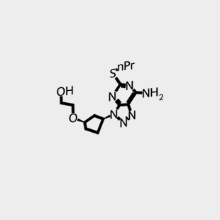 CCCSc1nc(N)c2nnn([C@H]3CC[C@@H](OCCO)C3)c2n1